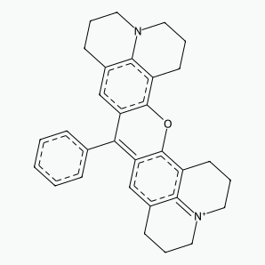 c1ccc(C2=c3cc4c5c(c3Oc3c2cc2c6c3CCCN6CCC2)CCC[N+]=5CCC4)cc1